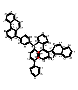 c1ccc(-c2ccc(N(c3ccc(-c4cccc5c4ccc4ccccc45)cc3)c3ccccc3-c3cccc4oc5c6ccccc6ccc5c34)cc2)cc1